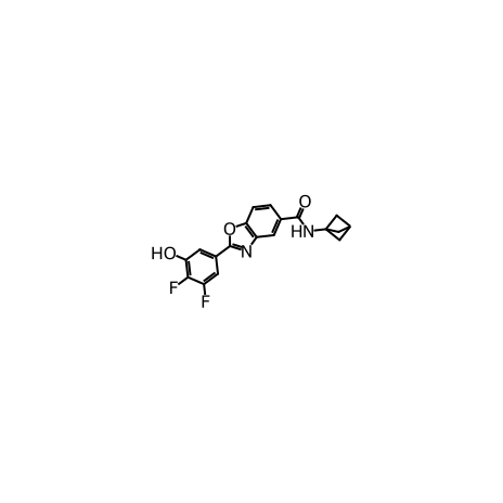 O=C(NC12CC(C1)C2)c1ccc2oc(-c3cc(O)c(F)c(F)c3)nc2c1